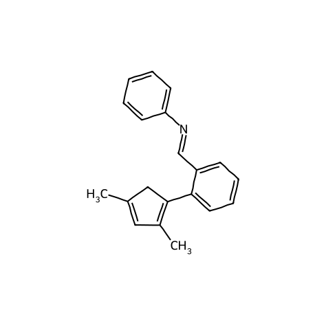 CC1=CC(C)=C(c2ccccc2C=Nc2ccccc2)C1